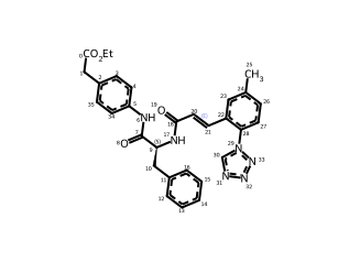 CCOC(=O)Cc1ccc(NC(=O)[C@H](Cc2ccccc2)NC(=O)/C=C/c2cc(C)ccc2-n2cnnn2)cc1